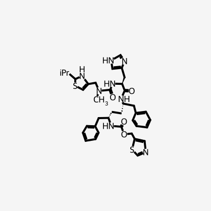 CC(C)C1NC(CN(C)C(=O)N[C@@H](Cc2c[nH]cn2)C(=O)N[C@@H](CC[C@@H](Cc2ccccc2)NC(=O)OCc2cncs2)Cc2ccccc2)=CS1